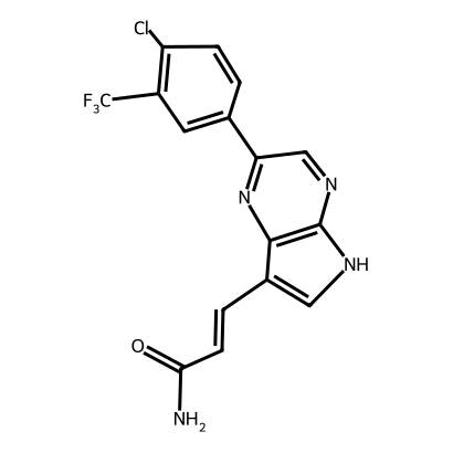 NC(=O)C=Cc1c[nH]c2ncc(-c3ccc(Cl)c(C(F)(F)F)c3)nc12